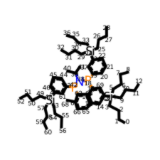 CCCC[Si](CCCC)(CCCC)c1cccc(P(c2cccc([Si](CCCC)(CCCC)CCCC)c2)N(C(C)C)P(c2cccc([Si](CCCC)(CCCC)CCCC)c2)c2ccccc2C)c1